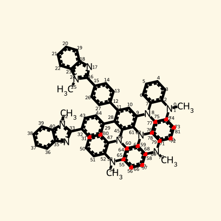 CN1c2ccccc2N(c2cc(-c3ccc(-c4nc5ccccc5n4C)cc3)c(-c3ccc(-c4nc5ccccc5n4C)cc3)c(N3c4ccccc4N(C)c4ccccc43)c2N2c3ccccc3N(C)c3ccccc32)c2ccccc21